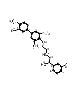 Cc1cc(-c2ccc(C(=O)O)c(C(C)C)c2)cc(C)c1OCCNCC(O)c1cccc(Cl)c1